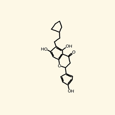 O=C1CC(c2ccc(O)cc2)Oc2cc(O)c(CCC3CCCC3)c(O)c21